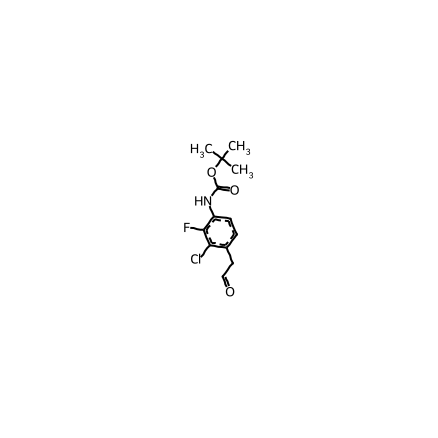 CC(C)(C)OC(=O)Nc1ccc(CC=O)c(Cl)c1F